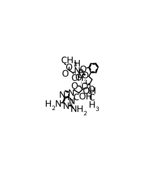 CCOC(=O)CCc1ccccc1O[P@](=O)(N[C@@H](C)C(=O)OCC)OC[C@H]1O[C@@H](n2cnc3c(N)nc(N)nc32)[C@](C)(O)C1O